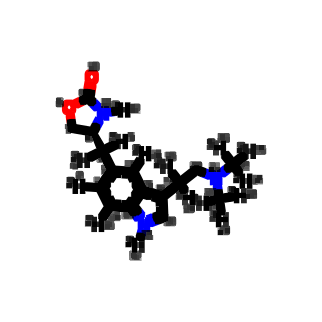 [2H]c1c(C([2H])([2H])[C@H]2COC(=O)N2[2H])c([2H])c2c(C([2H])([2H])CN(C([2H])([2H])[2H])C([2H])([2H])[2H])cn([2H])c2c1[2H]